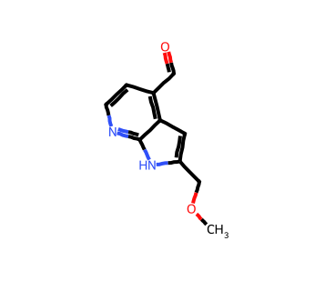 COCc1cc2c(C=O)ccnc2[nH]1